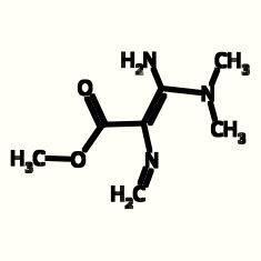 C=N/C(C(=O)OC)=C(/N)N(C)C